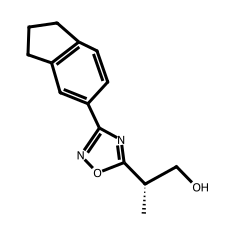 C[C@@H](CO)c1nc(-c2ccc3c(c2)CCC3)no1